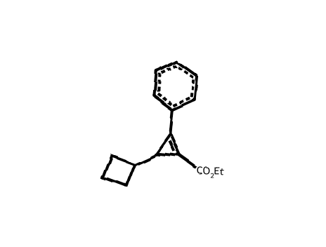 CCOC(=O)C1=C(c2ccccc2)C1C1CCC1